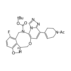 CC(=O)N1CC=C(c2cc3c(n4cnnc24)N(C(=O)OC(C)(C)C)Cc2c(F)ccc4c2[C@H](CO4)CO3)CC1